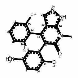 Cn1c(=O)c(-c2cc(N)ccc2Cl)c(-c2c(F)cccc2F)c2cn[nH]c21